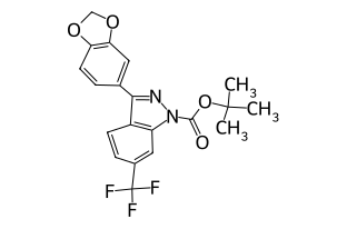 CC(C)(C)OC(=O)n1nc(-c2ccc3c(c2)OCO3)c2ccc(C(F)(F)F)cc21